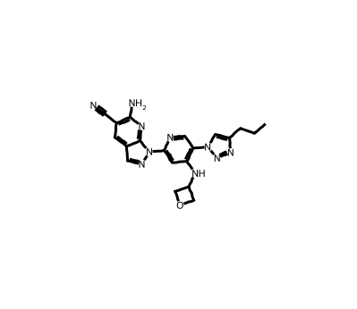 CCCc1cn(-c2cnc(-n3ncc4cc(C#N)c(N)nc43)cc2NC2COC2)nn1